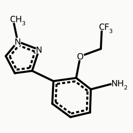 Cn1ccc(-c2cccc(N)c2OCC(F)(F)F)n1